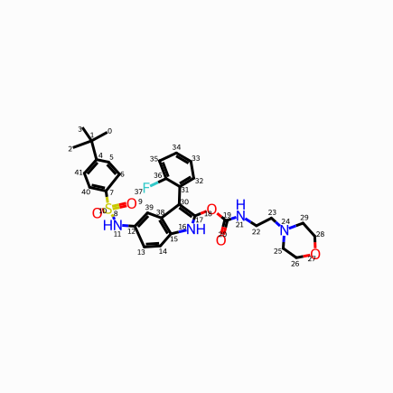 CC(C)(C)c1ccc(S(=O)(=O)Nc2ccc3[nH]c(OC(=O)NCCN4CCOCC4)c(-c4ccccc4F)c3c2)cc1